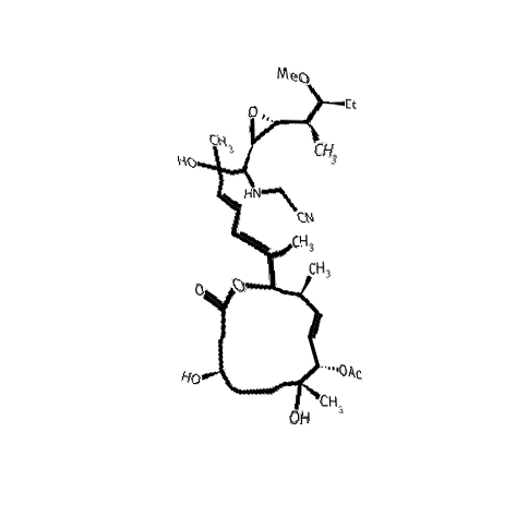 CC[C@H](OC)[C@@H](C)[C@H]1O[C@@H]1C(NCC#N)C(C)(O)/C=C/C=C(\C)C1OC(=O)C[C@H](O)CC[C@@](C)(O)[C@@H](OC(C)=O)/C=C/[C@@H]1C